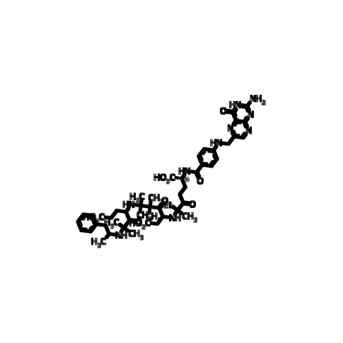 CCC(C)(NC(CC(=O)O)C(=O)C(C)(C)C(C)(C)NC(CCC(=O)O)C(=O)C(C)(C)NC(C)Cc1ccccc1)C(=O)CC[C@H](NC(=O)c1ccc(NCc2cnc3nc(N)[nH]c(=O)c3n2)cc1)C(=O)O